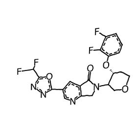 O=C1c2cc(-c3nnc(C(F)F)o3)cnc2CN1C1COCC[C@H]1Oc1cccc(F)c1F